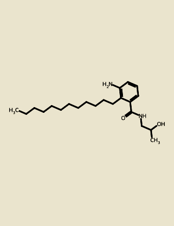 CCCCCCCCCCCCc1c(N)cccc1C(=O)NCC(C)O